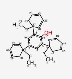 CCC1(c2cc(C3(CC)C=CC=CC3)c(O)c(C3(CC)C=CC=CC3)c2)C=CC=CC1